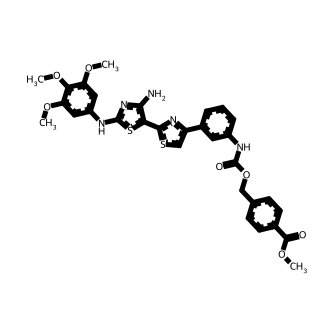 COC(=O)c1ccc(COC(=O)Nc2cccc(-c3csc(-c4sc(Nc5cc(OC)c(OC)c(OC)c5)nc4N)n3)c2)cc1